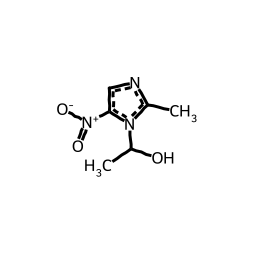 Cc1ncc([N+](=O)[O-])n1C(C)O